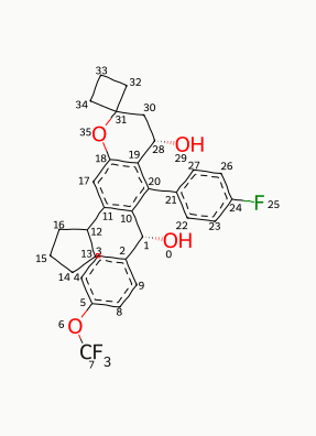 O[C@H](c1ccc(OC(F)(F)F)cc1)c1c(C2CCCC2)cc2c(c1-c1ccc(F)cc1)[C@@H](O)CC1(CCC1)O2